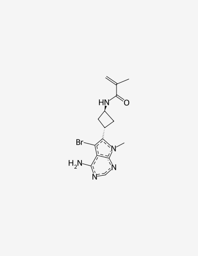 C=C(C)C(=O)N[C@H]1C[C@H](c2c(Br)c3c(N)ncnc3n2C)C1